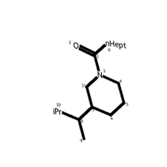 CCCCCCCC(=O)N1CCCC(C(C)C(C)C)C1